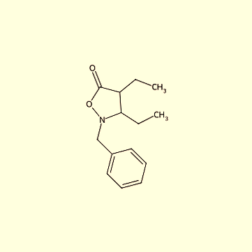 CCC1C(=O)ON(Cc2ccccc2)C1CC